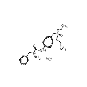 CCOP(=O)(Cc1ccc(NC(=O)[C@@H](N)Cc2ccccc2)cc1)OCC.Cl